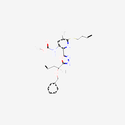 C=CCCSc1nc(-c2nnc([C@@](CC=C)(OCc3ccccc3)C(F)(F)F)o2)c(NC(=O)OC(C)(C)C)cc1C(F)(F)F